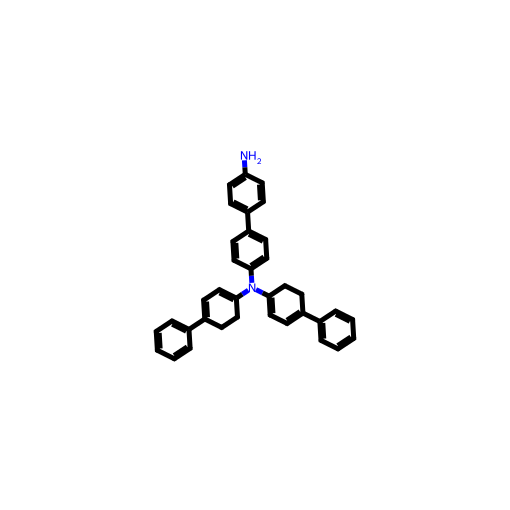 Nc1ccc(-c2ccc(N(C3=CC=C(c4ccccc4)CC3)C3=CC=C(c4ccccc4)CC3)cc2)cc1